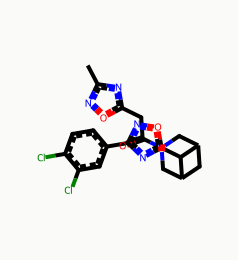 Cc1noc(CC(=O)N2CC3CC(C2)C3c2nc(-c3ccc(Cl)c(Cl)c3)no2)n1